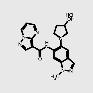 Cl.Cn1ncc2cc(N3CCC(O)C3)c(NC(=O)c3cnn4cccnc34)cc21